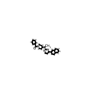 CN(c1nccc(-c2ccc3ccccc3c2)n1)C1CCN(C(=O)c2ccccc2)CC1